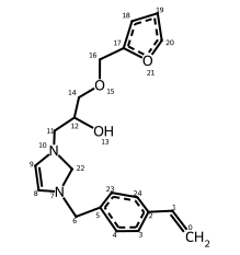 C=Cc1ccc(CN2C=CN(CC(O)COCc3ccco3)C2)cc1